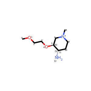 COCCO[C@H]1CN(C)CC[C@@H]1N